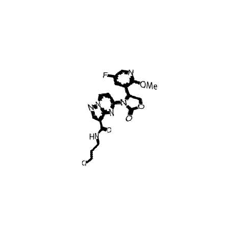 COc1ncc(F)cc1C1COC(=O)N1c1ccn2ncc(C(=O)NCCCCl)c2n1